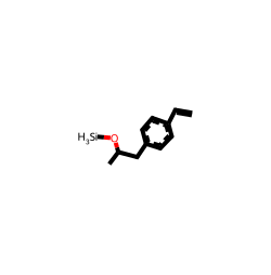 C=Cc1ccc(CC(C)O[SiH3])cc1